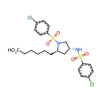 O=C(O)CCCCC[C@@H]1C[C@@H](NS(=O)(=O)c2ccc(Cl)cc2)CN1S(=O)(=O)c1ccc(Cl)cc1